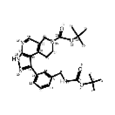 CC(C)(C)OC(=O)NCc1cccc(-c2n[nH]c3ncc4c(c23)CCN(C(=O)OC(C)(C)C)C4)c1